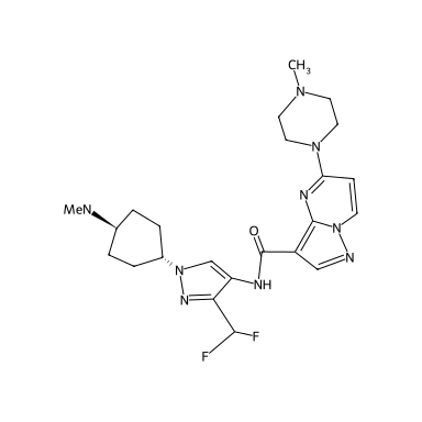 CN[C@H]1CC[C@H](n2cc(NC(=O)c3cnn4ccc(N5CCN(C)CC5)nc34)c(C(F)F)n2)CC1